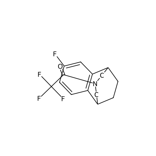 O=C(N1CC2CCC(C1)c1cc(F)ccc12)C(F)(F)F